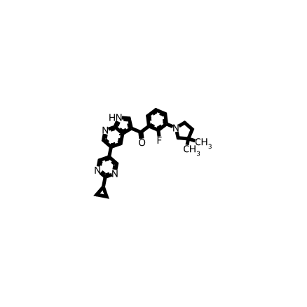 CC1(C)CCN(c2cccc(C(=O)c3c[nH]c4ncc(-c5cnc(C6CC6)nc5)cc34)c2F)C1